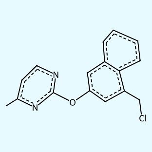 Cc1ccnc(Oc2cc(CCl)c3ccccc3c2)n1